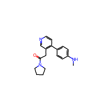 CNc1ccc(-c2ccncc2CC(=O)N2CCCC2)cc1